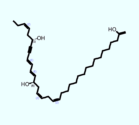 C=C(O)CCCCCCCCCCCCCC/C=C\C/C=C\C[C@@H](O)/C=C/C=C/C#C[C@@H](O)C/C=C\CC